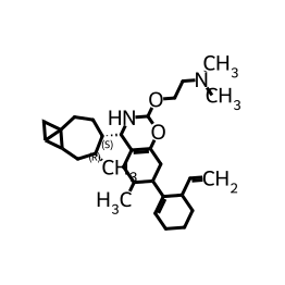 C=CC1CCCC=C1C1CC2=C(CC1C)C([C@H]1CCC34CC3C4C[C@H]1C)NC(OCCN(C)C)O2